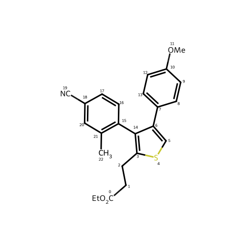 CCOC(=O)CCc1scc(-c2ccc(OC)cc2)c1-c1ccc(C#N)cc1C